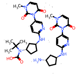 Cn1ccc(=O)n(-c2ccc(N[C@H]3CC[C@H](N(C(=O)O)C(C)(C)C)C3)nc2)c1=O.Cn1ccc(=O)n(-c2ccc(N[C@H]3CC[C@H](N)C3)nc2)c1=O